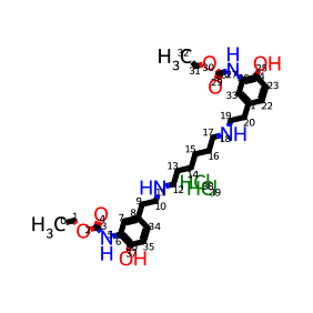 CCOC(=O)Nc1cc(CCNCCCCCCNCCc2ccc(O)c(NC(=O)OCC)c2)ccc1O.Cl.Cl